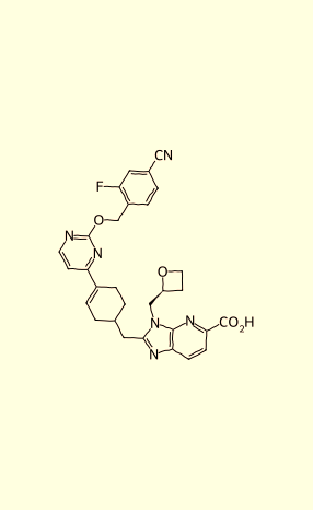 N#Cc1ccc(COc2nccc(C3=CCC(Cc4nc5ccc(C(=O)O)nc5n4C[C@@H]4CCO4)CC3)n2)c(F)c1